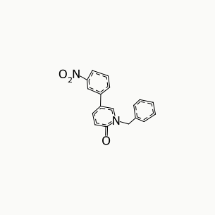 O=c1ccc(-c2cccc([N+](=O)[O-])c2)cn1Cc1ccccc1